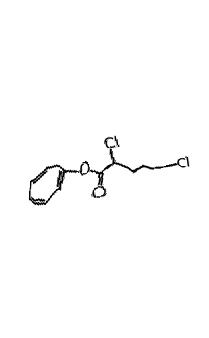 O=C(Oc1ccccc1)C(Cl)CCCCl